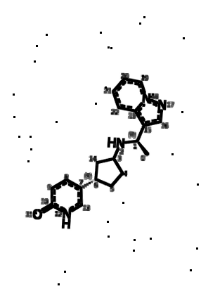 C[C@@H](NC1CC[C@H](c2ccc(=O)[nH]c2)C1)c1cnn2ccccc12